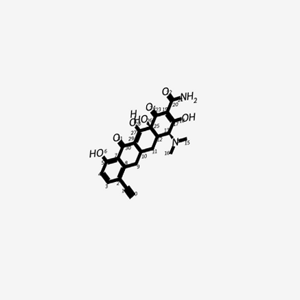 C#Cc1ccc(O)c2c1CC1CC3[C@H](N(C)C)C(O)=C(C(N)=O)C(=O)[C@@]3(O)C(O)=C1C2=O